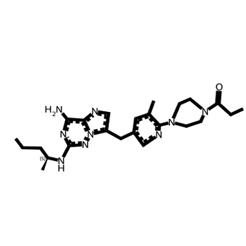 CCC[C@H](C)Nc1nc(N)c2ncc(Cc3cnc(N4CCN(C(=O)CC)CC4)c(C)c3)n2n1